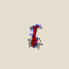 CC[C@H](C)[C@@H]([C@@H](CC(=O)N1CCC[C@H]1[C@H](OC)[C@@H](C)C(=O)N[C@@H](Cc1ccccc1)C(=O)Nc1ccc(NC(=O)OCc2ccc(NC(=O)[C@H](CCCNC(N)=O)NC(=O)[C@@H](NC(C)=O)C(C)C)cc2)cc1)OC)N(C)C(=O)[C@H](NC(=O)C(C(C)C)N(C)C)C(C)C